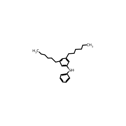 CCCCCCc1cc(CCCCCC)cc([SiH]c2ccccc2)c1